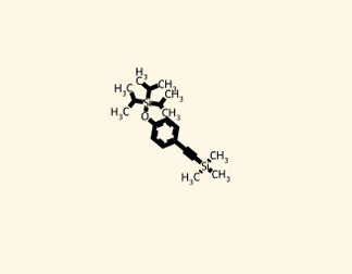 CC(C)[Si](Oc1ccc(C#C[Si](C)(C)C)cc1)(C(C)C)C(C)C